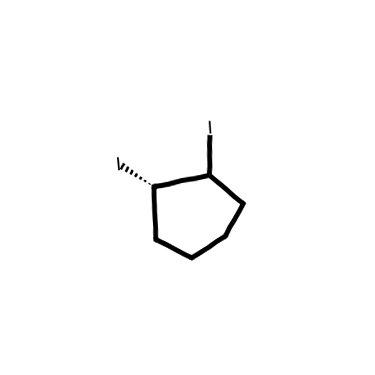 IC1CCCC[C@@H]1I